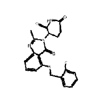 Cc1nc2cccc(SCc3ccccc3F)c2c(=O)n1C1CCC(=O)NC1=O